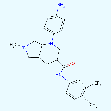 Cc1ccc(NC(=O)C2CC3CN(C)CC3N(c3ccc(N)cc3)C2)cc1C(F)(F)F